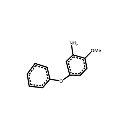 COc1ccc(Oc2ccccc2)cc1N